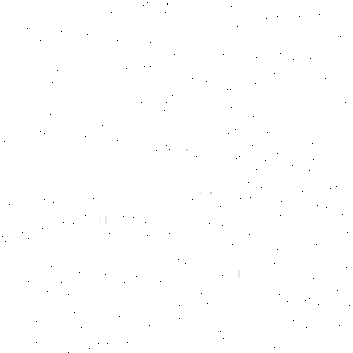 NC(=O)O[C@@H](Cc1cc(F)cc(F)c1)[C@@H](O)CN[C@H]1c2ccccc2C[C@H]1O